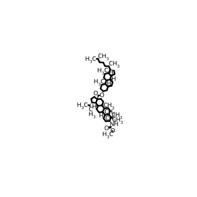 COC(=O)NC1CC[C@@]2(C)C(CC[C@]3(C)[C@@H]2CC[C@@H]2C4[C@H](C(C)C)CC[C@]4(C(=O)O[C@@H]4CC[C@@]5(C)C(=CC[C@H]6[C@@H]7CC[C@H]([C@H](C)CCCC(C)C)[C@@]7(C)CC[C@@H]65)C4)CC[C@]23C)C1(C)C